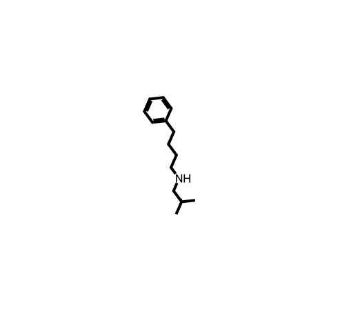 C[C](C)CNCCCCc1ccccc1